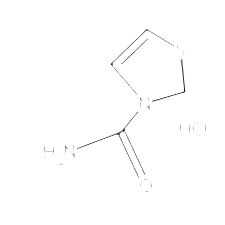 Cl.NC(=O)N1[CH]SC=C1